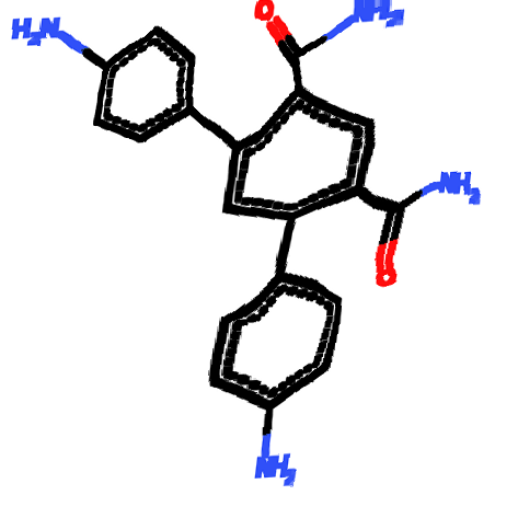 NC(=O)c1cc(C(N)=O)c(-c2ccc(N)cc2)cc1-c1ccc(N)cc1